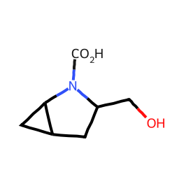 O=C(O)N1C(CO)CC2CC21